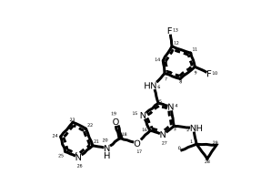 CC1(Nc2nc(Nc3cc(F)cc(F)c3)nc(OC(=O)Nc3ccccn3)n2)CC1